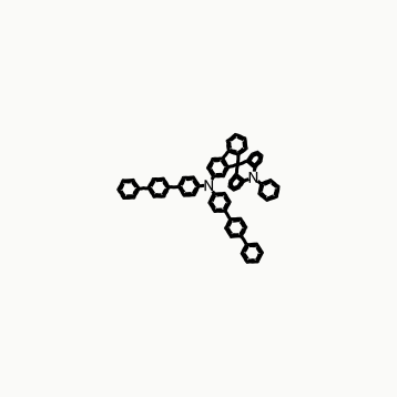 c1ccc(-c2ccc(-c3ccc(N(c4ccc(-c5ccc(-c6ccccc6)cc5)cc4)c4ccc5c(c4)C4(c6ccccc6-5)c5ccccc5N(c5ccccc5)c5ccccc54)cc3)cc2)cc1